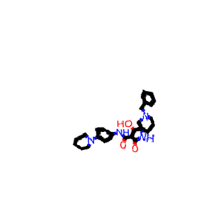 O=C(Nc1ccc(N2CCCCC2)cc1)C1=C(O)C2(CCCN(Cc3ccccc3)C2)NC1=O